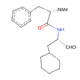 CN[C@@H](Cc1ccccc1)C(=O)N[C@H]([C]=O)CC1CCCCC1